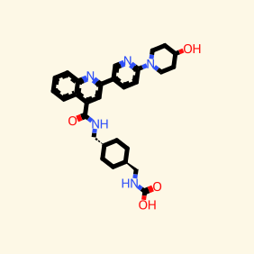 O=C(O)NC[C@H]1CC[C@H](CNC(=O)c2cc(-c3ccc(N4CCC(O)CC4)nc3)nc3ccccc23)CC1